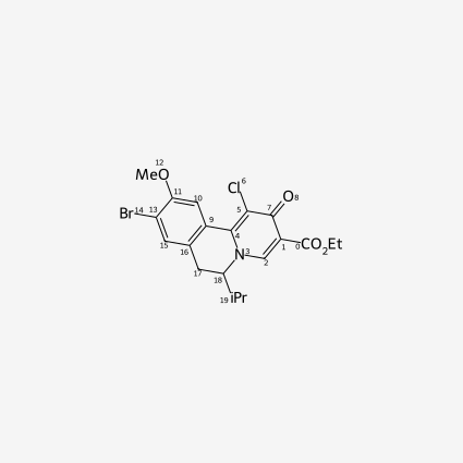 CCOC(=O)c1cn2c(c(Cl)c1=O)-c1cc(OC)c(Br)cc1CC2C(C)C